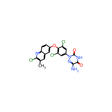 Cc1cc2cc(Oc3c(Cl)cc(-n4nc(N)c(=O)[nH]c4=O)cc3Cl)ccc2nc1Cl